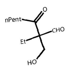 CCCCCC(=O)C(C=O)(CC)CO